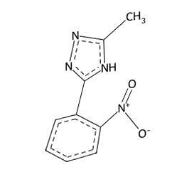 Cc1nnc(-c2ccccc2[N+](=O)[O-])[nH]1